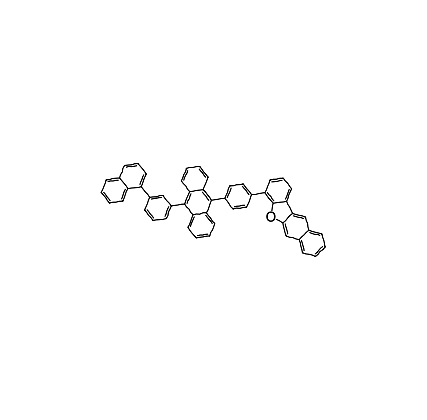 c1cc(-c2cccc3ccccc23)cc(-c2c3ccccc3c(-c3ccc(-c4cccc5c4oc4cc6ccccc6cc45)cc3)c3ccccc23)c1